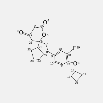 O=C1CC(=O)OC(CCc2ccc(OC3CCC3)c(F)c2)(C2CCCC2)C1